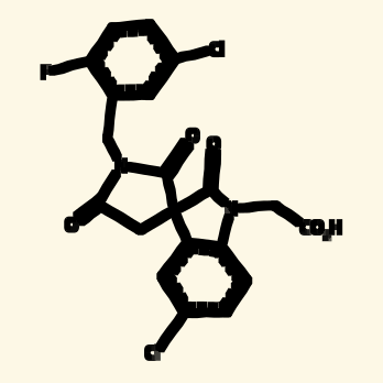 O=C(O)CN1C(=O)C2(CC(=O)N(Cc3cc(Cl)ccc3F)C2=O)c2cc(Cl)ccc21